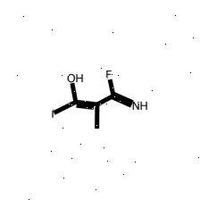 C/C(C(=N)F)=C(/O)I